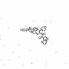 CC(C)(O)C(F)CN1Cc2cc(NC(=O)c3cnn4cccnc34)c(N3CCOCC3)cc2S1(O)O